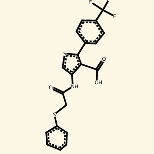 O=C(CSc1ccccc1)Nc1csc(-c2ccc(C(F)(F)F)cc2)c1C(=O)O